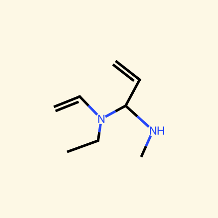 C=CC(NC)N(C=C)CC